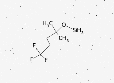 CC(C)(CCC(F)(F)F)O[SiH3]